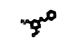 Cc1cc(OCc2ccccc2)nc([S+]=O)n1